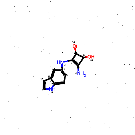 NC1=C(Nc2ccc3[nH]ccc3c2)C(O)C1O